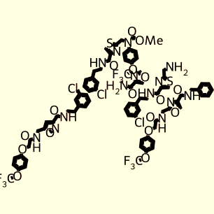 COC(=O)N(Cc1nc(C(=O)NCCc2cccc(Cl)c2)cs1)c1ccc(OC(F)(F)F)cc1.NC(=O)c1cocn1.NCc1nc(C(=O)NCCc2cccc(Cl)c2)cs1.O=C(COc1ccc(OC(F)(F)F)cc1)NCc1cc(C(=O)NCCc2cccc(Cl)c2)no1.O=C(COc1ccc(OC(F)(F)F)cc1)NCc1nc(C(=O)NCc2ccccc2)co1